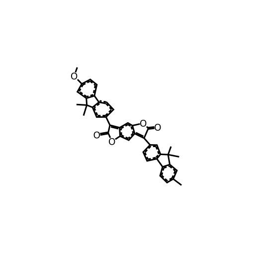 COc1ccc2c(c1)C(C)(C)c1cc(C3=c4cc5c(cc4OC3=O)=C(c3ccc4c(c3)C(C)(C)c3cc(C)ccc3-4)C(=O)O5)ccc1-2